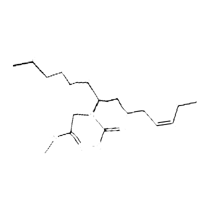 CC/C=C\CCCC(CCCCCC)N(CC(=O)NC)C(=O)O